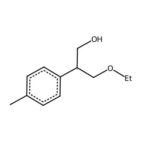 CCOC[C](CO)c1ccc(C)cc1